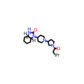 CC(C)CC(=O)N1CCC(N2CCC(N3C(=O)N[C@@H]4CCCC[C@H]43)CC2)C1